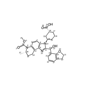 COC(=O)N1c2ccc3c(nc([C@@H](O)c4cccc5c4OCC5)n3[C@@H]3CCC[C@@H](C(=O)O)C3)c2CC[C@@H]1C